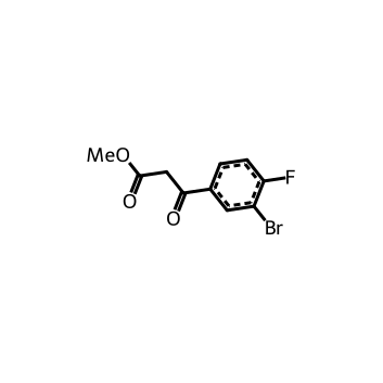 COC(=O)CC(=O)c1ccc(F)c(Br)c1